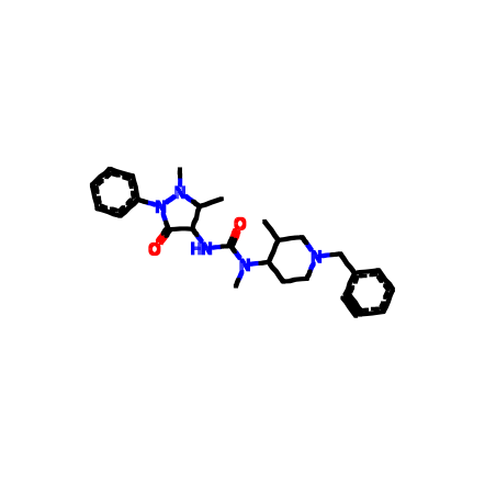 CC1CN(Cc2c#cccc2)CCC1N(C)C(=O)NC1C(=O)N(c2ccccc2)N(C)C1C